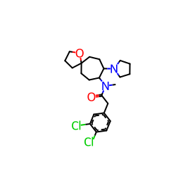 CN(C(=O)Cc1ccc(Cl)c(Cl)c1)C1CCC2(CCCO2)CCC1N1CCCC1